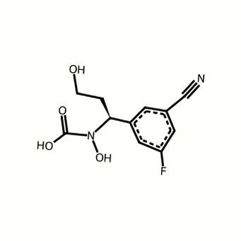 N#Cc1cc(F)cc([C@H](CCO)N(O)C(=O)O)c1